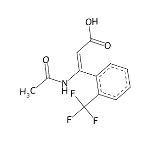 CC(=O)NC(=CC(=O)O)c1ccccc1C(F)(F)F